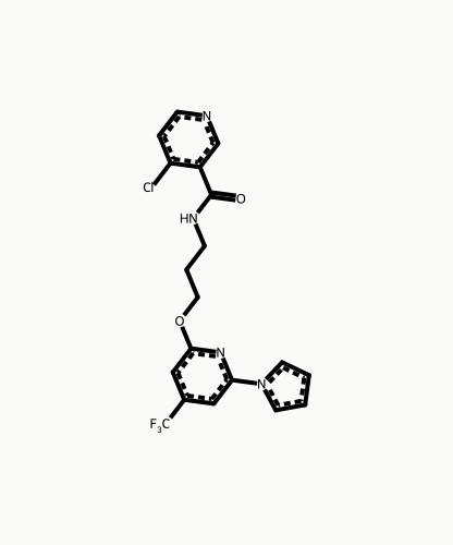 O=C(NCCCOc1cc(C(F)(F)F)cc(-n2cccc2)n1)c1cnccc1Cl